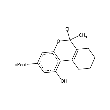 CCCCCc1cc(O)c2c(c1)OC(C)(C)C1=C2CCCC1